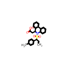 C=CC(c1ccc(C)cc1)S(=O)(=O)N1c2ccccc2-c2ccccc2C1CC(=O)O